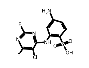 Nc1ccc(S(=O)(=O)O)c(Nc2nc(F)nc(F)c2Cl)c1